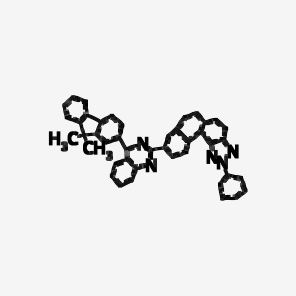 CC1(C)c2ccccc2-c2ccc(-c3nc(-c4ccc5c(ccc6ccc7nn(-c8ccccc8)nc7c65)c4)nc4ccccc34)cc21